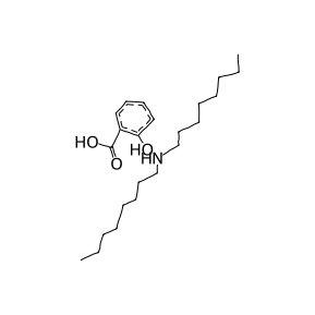 CCCCCCCCNCCCCCCCC.O=C(O)c1ccccc1O